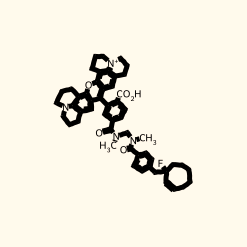 CN(CN(C)C(=O)c1ccc(C(=O)O)c(C2=c3cc4c5c(c3Oc3c2cc2c6c3CCCN6CCC2)CCC[N+]=5CCC4)c1)C(=O)c1ccc(CC2(F)C#CCCCCC2)cc1